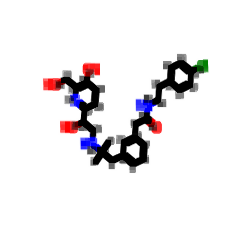 CC(C)(Cc1cccc(CC(=O)NCCc2ccc(Cl)cc2)c1)NCC(O)c1ccc(O)c(CO)n1